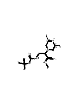 COC(=O)C(CNC(=O)OC(C)(C)C)N1C[C@@H](C)O[C@@H](C)C1